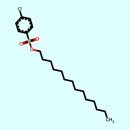 CCCCCCCCCCCCCCOS(=O)(=O)c1ccc(Cl)cc1